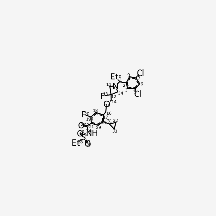 CCC(c1cc(Cl)cc(Cl)c1)N1CC(F)(COCc2cc(F)c(C(=O)NS(=O)(=O)CC)cc2C2CC2)C1